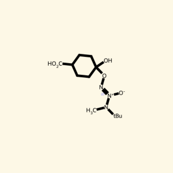 CN(/[N+]([O-])=N/OC1(O)CCC(C(=O)O)CC1)C(C)(C)C